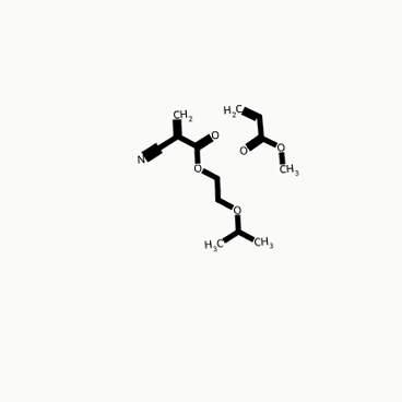 C=C(C#N)C(=O)OCCOC(C)C.C=CC(=O)OC